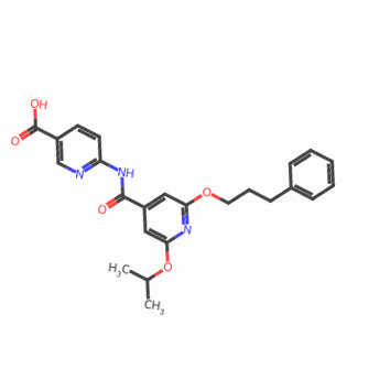 CC(C)Oc1cc(C(=O)Nc2ccc(C(=O)O)cn2)cc(OCCCc2ccccc2)n1